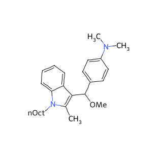 CCCCCCCCn1c(C)c(C(OC)c2ccc(N(C)C)cc2)c2ccccc21